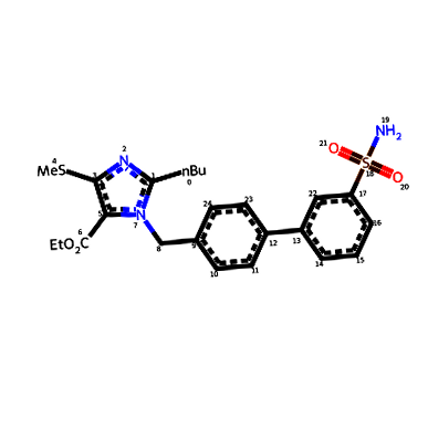 CCCCc1nc(SC)c(C(=O)OCC)n1Cc1ccc(-c2cccc(S(N)(=O)=O)c2)cc1